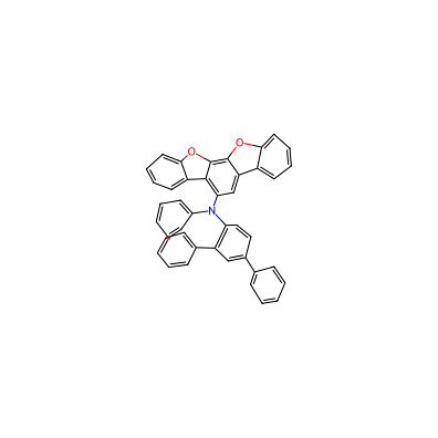 c1ccc(-c2ccc(N(c3ccccc3)c3cc4c5ccccc5oc4c4oc5ccccc5c34)c(-c3ccccc3)c2)cc1